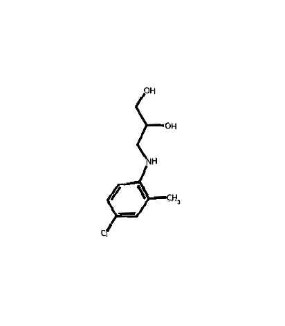 Cc1cc(Cl)ccc1NCC(O)CO